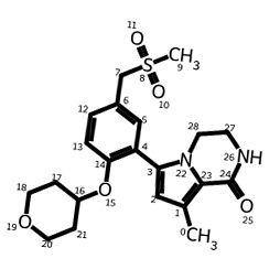 Cc1cc(-c2cc(CS(C)(=O)=O)ccc2OC2CCOCC2)n2c1C(=O)NCC2